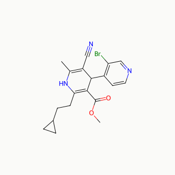 COC(=O)C1=C(CCC2CC2)NC(C)=C(C#N)C1c1ccncc1Br